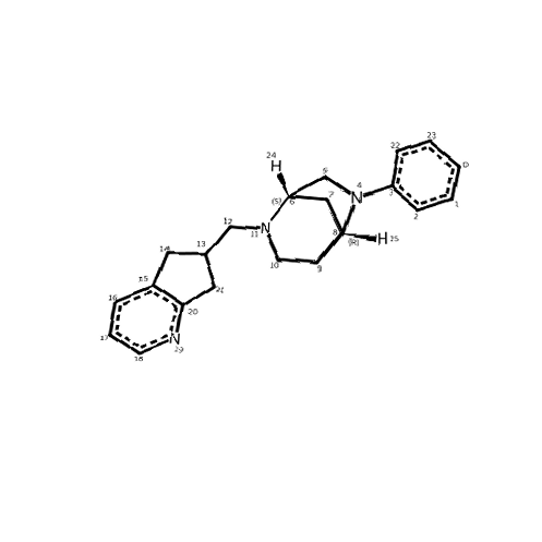 c1ccc(N2C[C@@H]3C[C@H]2CCN3CC2Cc3cccnc3C2)cc1